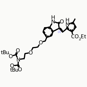 CCOC(=O)c1cc(C)[nH]c1/C=C1\C(=O)Nc2ccc(COCCOCCN(C(=O)OC(C)(C)C)C(=O)OC(C)(C)C)cc21